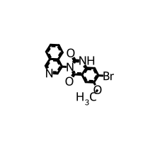 COc1cc2c(=O)n(-c3cncc4ccccc34)c(=O)[nH]c2cc1Br